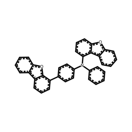 c1ccc(N(c2ccc(-c3cccc4c3oc3ccccc34)cc2)c2cccc3oc4ccccc4c23)cc1